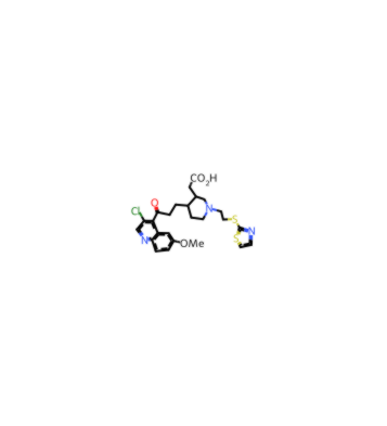 COc1ccc2ncc(Cl)c(C(=O)CCC3CCN(CCSc4nccs4)CC3CC(=O)O)c2c1